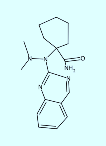 CN(C)N(c1ncc2ccccc2n1)C1(C(N)=O)CCCCC1